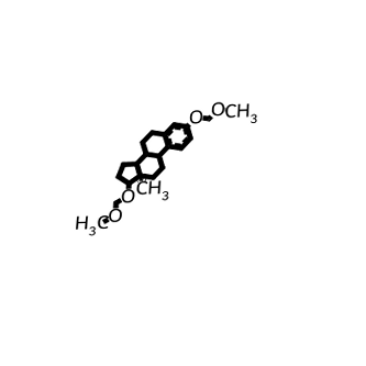 COCOc1ccc2c(c1)CCC1C2CC[C@]2(C)C(OCOC)CCC12